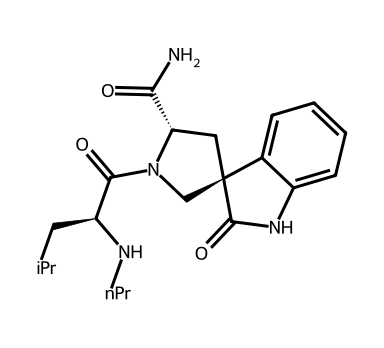 CCCN[C@@H](CC(C)C)C(=O)N1C[C@]2(C[C@H]1C(N)=O)C(=O)Nc1ccccc12